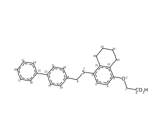 O=C(O)COc1ccc(SCc2ccc(-c3ccccc3)cc2)c2c1CCCC2